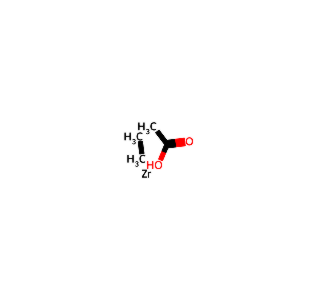 CC.CC(=O)O.[Zr]